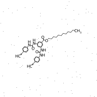 C#Cc1ccc(NC(=O)Nc2cc(NC(=O)Nc3ccc(C#C)cc3)cc(C(=O)OCCCCCCCCCCCC)c2)cc1